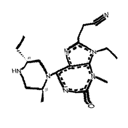 CC[C@@H]1CN(c2nc(=O)n(C)c3c2nc(CC#N)n3CC)[C@@H](C)CN1